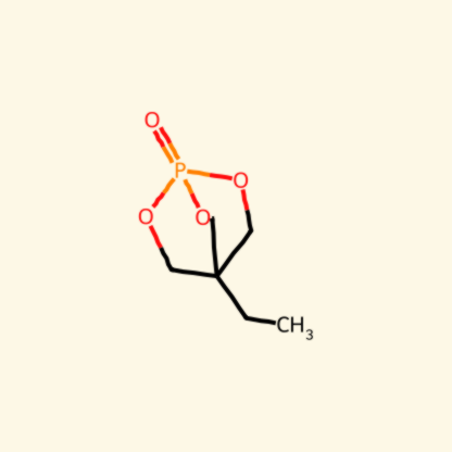 CCC12COP(=O)(OC1)OC2